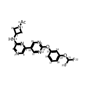 CC(=O)N1CC(Nc2cncc(-c3cnc(Oc4cccc(OC(F)F)c4)nc3)n2)C1